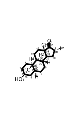 C[C@]12CC[C@H](O)C[C@@H]1CC[C@@H]1[C@@H]2CC[C@]2(C)C(=O)[C@H](I)C[C@@H]12